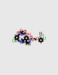 Cc1c(Cl)cccc1OCCOC(=O)N1C[C@@H]2C[C@@H]2c2c(-c3cnn(Cc4cc(C(=O)NC5(CC(=O)O)COC5)ccc4Cl)c3)cccc21